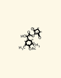 CC(=O)Oc1c(C)cc(C(O)C(=O)ON2C(=O)CCC2=O)cc1C